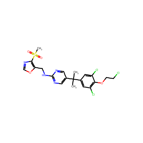 CC(C)(c1cnc(NCc2ocnc2S(C)(=O)=O)nc1)c1cc(Cl)c(OCCCl)c(Cl)c1